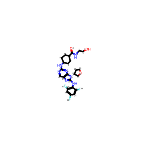 O=C(NCCO)C1CCC(Nc2ncc3nc(Nc4c(F)cc(F)cc4F)n([C@@H]4CCOC4)c3n2)CC1